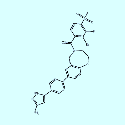 CCc1c(C(=O)N2CCOc3ccc(-c4ccc(-c5cc(N)n[nH]5)cc4)cc3C2)ccc(S(C)(=O)=O)c1F